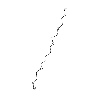 CCCNCCOCCOCCOCCOCCOC(C)C